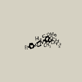 CCc1ccc(N2CCN(c3c(C)c4c(c(OC)c3C)OC(C)(C)C4)CC2)cc1